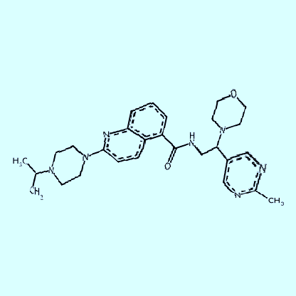 Cc1ncc(C(CNC(=O)c2cccc3nc(N4CCN(C(C)C)CC4)ccc23)N2CCOCC2)cn1